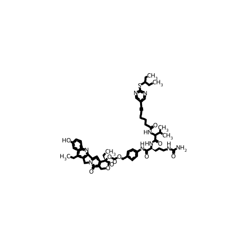 CCc1c2c(nc3ccc(O)cc13)-c1cc3c(c(=O)n1C2)COC(=O)[C@@]3(CC)OC(=O)OCc1ccc(NC(=O)[C@H](CCCNC(N)=O)NC(=O)C(NC(=O)CCCC#Cc2cnc(SC(CC)CC)nc2)C(C)C)cc1